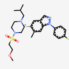 COCCS(=O)(=O)N1CCN(CC(C)C)[C@H](c2cc3cnn(-c4ccc(F)cc4)c3cc2C)C1